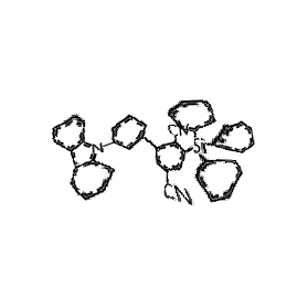 N#Cc1cc(-c2cccc(-n3c4ccccc4c4ccccc43)c2)c(C#N)c([Si](c2ccccc2)(c2ccccc2)c2ccccc2)c1